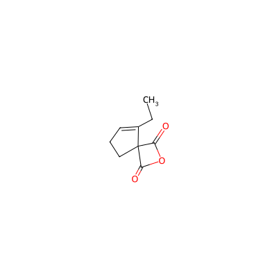 CCC1=CCCC12C(=O)OC2=O